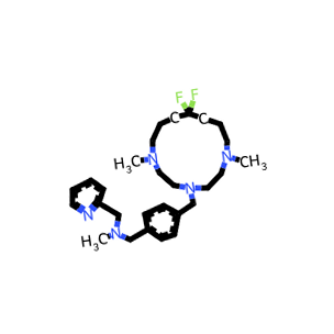 CN1CCCC(F)(F)CCCN(C)CCN(Cc2ccc(CN(C)Cc3ccccn3)cc2)CC1